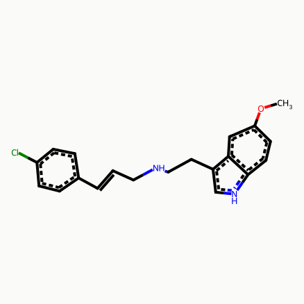 COc1ccc2[nH]cc(CCNCC=Cc3ccc(Cl)cc3)c2c1